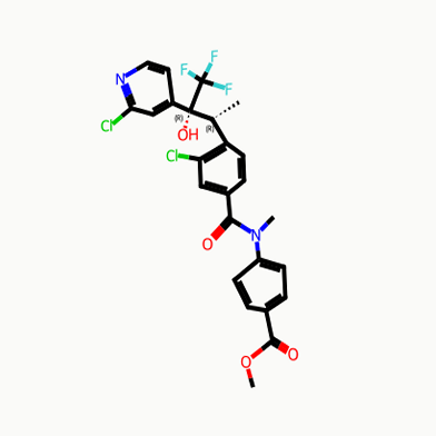 COC(=O)c1ccc(N(C)C(=O)c2ccc([C@@H](C)[C@@](O)(c3ccnc(Cl)c3)C(F)(F)F)c(Cl)c2)cc1